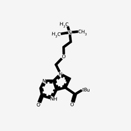 CC(C)(C)C(=O)c1cn(COCC[Si](C)(C)C)c2ncc(=O)[nH]c12